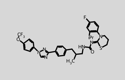 CC(CNC(=O)/N=C1\SCCCN1c1ccc(F)cc1C(C)C)Cc1ccc(-c2ncn(-c3ccc(OC(F)(F)F)cc3)n2)cc1